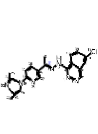 C/C(=N\Nc1nncc2cc(Cl)ccc12)c1ccc(-n2cc(C)nc2C)nc1